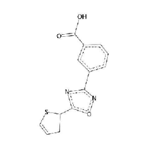 O=C(O)c1cccc(-c2noc(C3CC=CS3)n2)c1